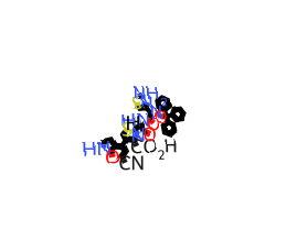 N#CCC/C(C1=C(C(=O)O)N2C(=O)[C@@H](NC(=O)/C(=N\OC(c3ccccc3)(c3ccccc3)c3ccccc3)c3csc(N)n3)[C@H]2SC1)=C1/CCNC1=O